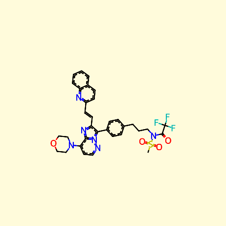 CS(=O)(=O)N(CCCc1ccc(-c2c(/C=C/c3ccc4ccccc4n3)nc3c(N4CCOCC4)ccnn23)cc1)C(=O)C(F)(F)F